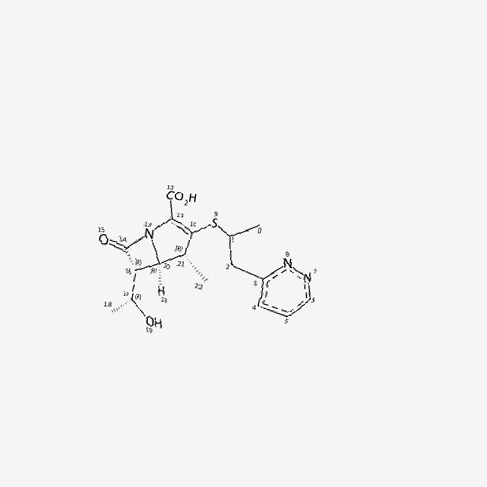 CC(Cc1cccnn1)SC1=C(C(=O)O)N2C(=O)[C@@H]([C@@H](C)O)[C@@H]2[C@H]1C